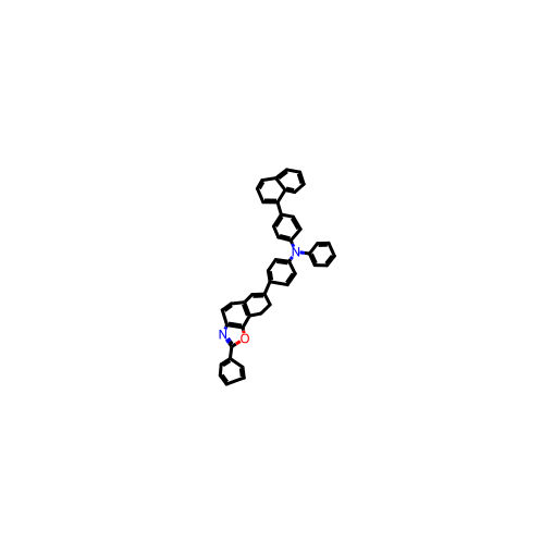 C1=C(c2ccc(N(c3ccccc3)c3ccc(-c4cccc5ccccc45)cc3)cc2)CCc2c1ccc1nc(-c3ccccc3)oc21